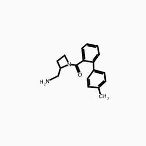 Cc1ccc(-c2ccccc2C(=O)N2CCC2CN)cc1